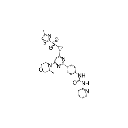 Cc1csc(S(=O)(=O)C2CC2c2cc(N3CCOC[C@@H]3C)nc(-c3ccc(NC(=O)Nc4ccccn4)cc3)n2)n1